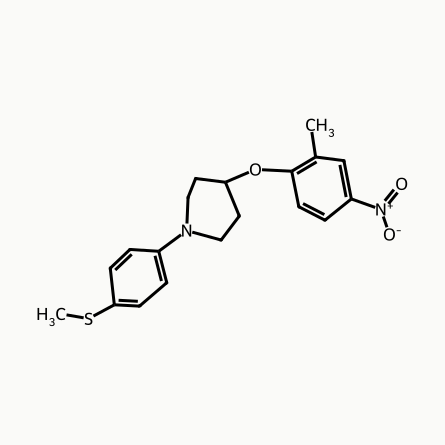 CSc1ccc(N2CCC(Oc3ccc([N+](=O)[O-])cc3C)CC2)cc1